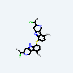 CCC(Cl)C1Cc2[nH]c3c(Sc4ccc([N+](=O)[O-])c5c6c([nH]c45)CC(C(Cl)CC)NC6)ccc([N+](=O)[O-])c3c2CN1